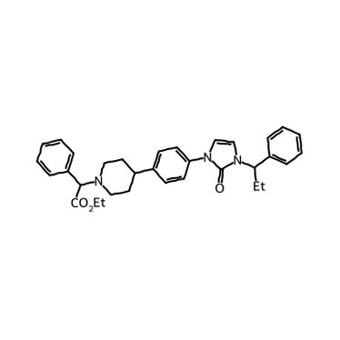 CCOC(=O)C(c1ccccc1)N1CCC(c2ccc(-n3ccn(C(CC)c4ccccc4)c3=O)cc2)CC1